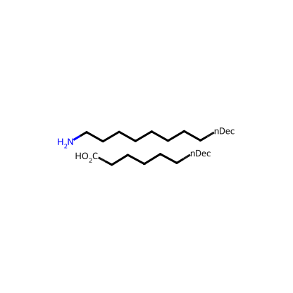 CCCCCCCCCCCCCCCC(=O)O.CCCCCCCCCCCCCCCCCCN